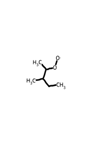 CCC(C)C(C)O[O]